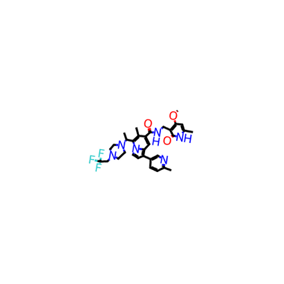 COc1cc(C)[nH]c(=O)c1CNC(=O)c1cc2c(-c3ccc(C)nc3)ccn2c(C(C)N2CCN(CC(F)(F)F)CC2)c1C